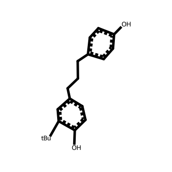 CC(C)(C)c1cc(CCCc2ccc(O)cc2)ccc1O